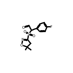 CC1(C)CC(S(=O)(=O)C(C=O)c2ccc(F)cc2)=NO1